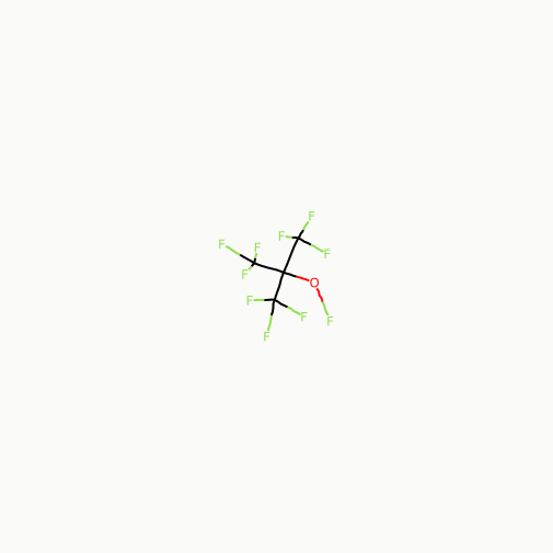 FOC(C(F)(F)F)(C(F)(F)F)C(F)(F)F